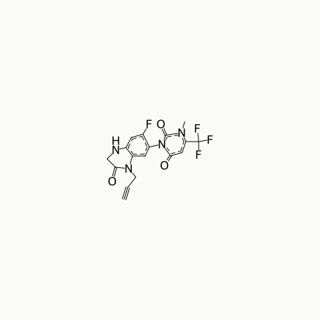 C#CCN1C(=O)CNc2cc(F)c(-n3c(=O)cc(C(F)(F)F)n(C)c3=O)cc21